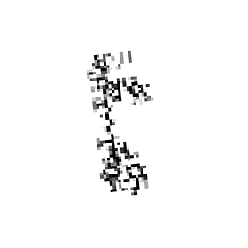 Cc1ccc(Cn2nc(/C(F)=C/CCC/C=C(\F)c3nn(Cc4ccc(C)cc4)c4c3Cc3sc(S(=O)(=O)O)cc3-4)c3c2-c2cc(S(=O)(=O)O)sc2C3)cc1